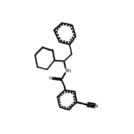 N#Cc1cccc(C(=O)NC(Cc2ccccc2)C2CCCCC2)c1